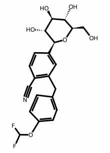 N#Cc1ccc([C@@H]2O[C@H](CO)[C@@H](O)[C@H](O)[C@H]2O)cc1Cc1ccc(OC(F)F)cc1